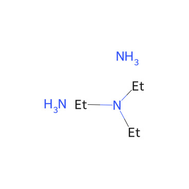 CCN(CC)CC.N.N